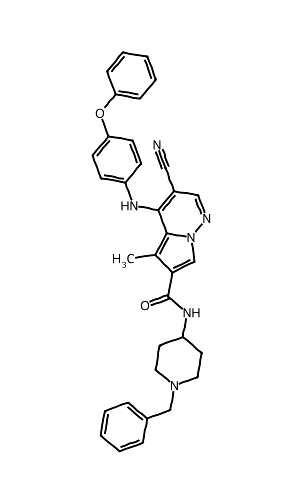 Cc1c(C(=O)NC2CCN(Cc3ccccc3)CC2)cn2ncc(C#N)c(Nc3ccc(Oc4ccccc4)cc3)c12